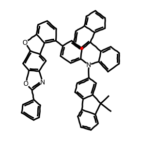 CC1(C)c2ccccc2-c2ccc(N(c3ccc(-c4cccc5oc6cc7oc(-c8ccccc8)nc7cc6c45)cc3)c3ccccc3-c3cccc4ccccc34)cc21